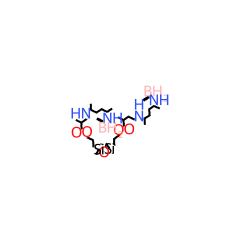 BC(=C)NC(C)CCC(C)NCCC(C)C(=O)OCCC[Si](C)(C)O[Si](C)(C)CCCOC(=O)C(C)CNC(C)CCC(C)NC(B)=C